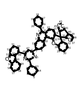 c1ccc(-c2nc(-c3ccc4c(c3)nc(-c3ccccc3)c3ccc5c(c34)Oc3ccccc3C53c4ccccc4-c4ccccc43)cc(-c3cccc4oc5ccccc5c34)n2)cc1